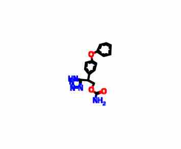 NC(=O)OCC(c1ccc(Oc2ccccc2)cc1)c1nnn[nH]1